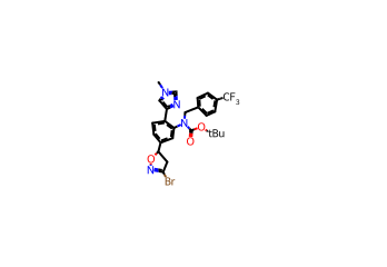 Cn1cnc(-c2ccc(C3CC(Br)=NO3)cc2N(Cc2ccc(C(F)(F)F)cc2)C(=O)OC(C)(C)C)c1